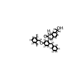 CC(C)(O)c1ccc2c(c1)NC(=O)N(c1cc(OCc3c(F)cccc3F)ccc1Cc1ccccc1)C2